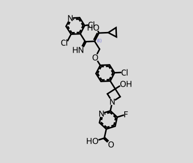 N=C(/C(COc1ccc(C2(O)CN(c3ncc(C(=O)O)cc3F)C2)c(Cl)c1)=C(\O)C1CC1)c1c(Cl)cncc1Cl